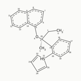 [CH2]C[C@](C)(Oc1cccc2ccccc12)c1ccccc1[SH]1C=CC=C1